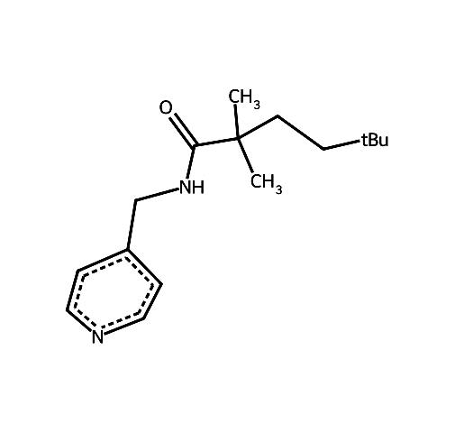 CC(C)(C)CCC(C)(C)C(=O)NCc1ccncc1